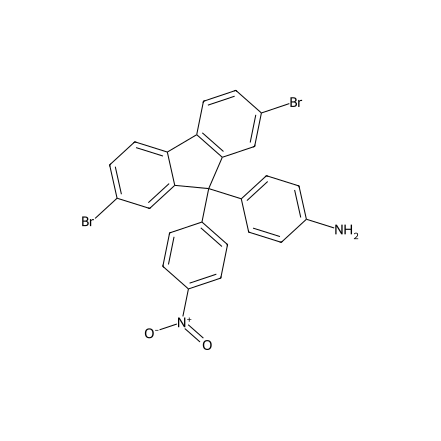 Nc1ccc(C2(c3ccc([N+](=O)[O-])cc3)c3cc(Br)ccc3-c3ccc(Br)cc32)cc1